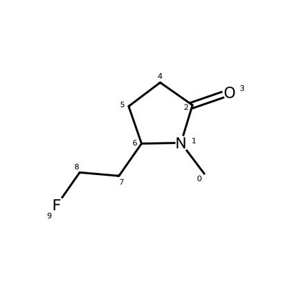 CN1C(=O)CCC1CCF